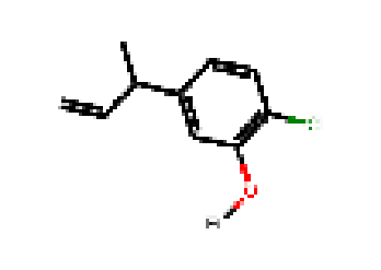 [CH2]C(C=C)c1ccc(Cl)c(OCC)c1